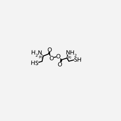 N[C@@H](CS)C(=O)OOC(=O)[C@@H](N)CS